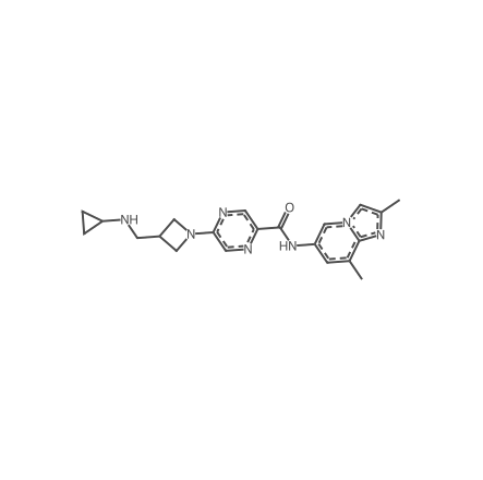 Cc1cn2cc(NC(=O)c3cnc(N4CC(CNC5CC5)C4)cn3)cc(C)c2n1